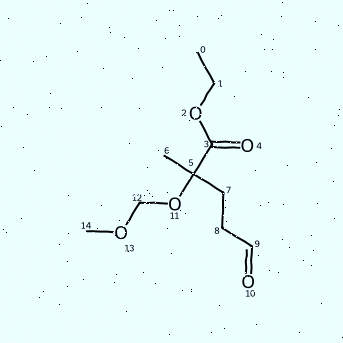 CCOC(=O)C(C)(CCC=O)OCOC